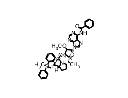 CC[C@H]1O[C@@H](n2cnc3c(NC(=O)c4ccccc4)ncnc32)C(OC)[C@H]1O[P@]1O[C@@H](C[Si](C)(c2ccccc2)c2ccccc2)[C@H]2CCCN21